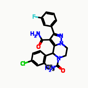 NC(=O)c1c(-c2cccc(F)c2)nn2c1C(c1ccc(Cl)cc1C(F)(F)F)N(C(N)=O)CC2